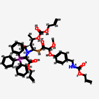 C=CCOC(=O)NCc1ccc(OC(OC)C(=O)S[C@@H]2[C@@H]([C@@H](C)OC(=O)OCC=C)C(=O)N2C(C(=O)OCC=C)=P(c2ccccc2)(c2ccccc2)c2ccccc2)cc1